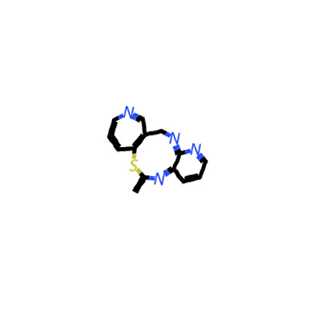 C=C1/N=c2/cccn/c2=N/CC2=C(C=C=CN=C2)S1